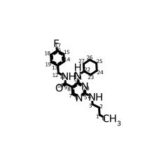 CCCCNc1ncc(C(=O)NCc2ccc(F)cc2)c(NC2CCCCC2)n1